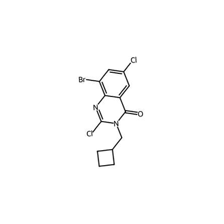 O=c1c2cc(Cl)cc(Br)c2nc(Cl)n1CC1CCC1